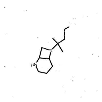 CCCC(C)(C)N1CC2NCCCC21